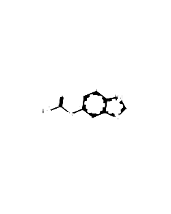 CC(C)C(=O)Nc1ccc2[nH]cnc2c1